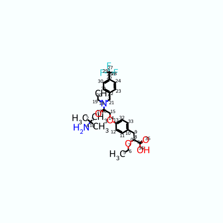 CC(C)(C)N.CCO[C@@H](Cc1ccc(OCC(=O)N(CC)Cc2ccc(C(F)(F)F)cc2)cc1)C(=O)O